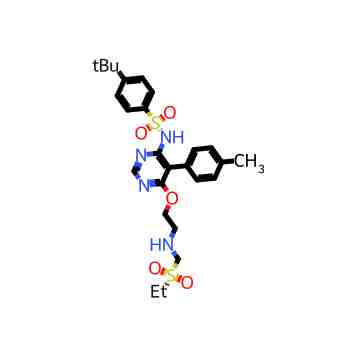 CCS(=O)(=O)CNCCOc1ncnc(NS(=O)(=O)c2ccc(C(C)(C)C)cc2)c1-c1ccc(C)cc1